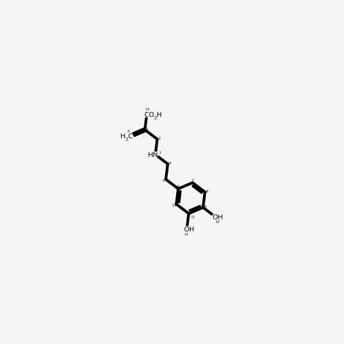 C=C(CNCCc1ccc(O)c(O)c1)C(=O)O